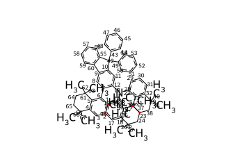 Cc1ccc2c(c1-c1cc3c(cc1N(c1cccc4c1C(C)(C)CCC4(C)C)c1cccc4c1C(C)(C)CCC4(C)C)C(c1ccccc1)(c1ccccc1)c1ccccc1-3)C(C)(C)CCC2(C)C